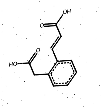 O=C(O)C=Cc1ccccc1CC(=O)O